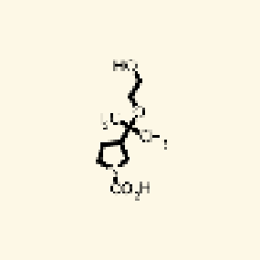 CC(C)(OCCO)C1CCN(C(=O)O)C1